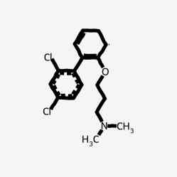 CN(C)CCCOC1=C(c2ccc(Cl)cc2Cl)C=CC[CH]1